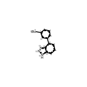 CC(C)(C)c1cccc(-c2cccc3[nH]nnc23)c1